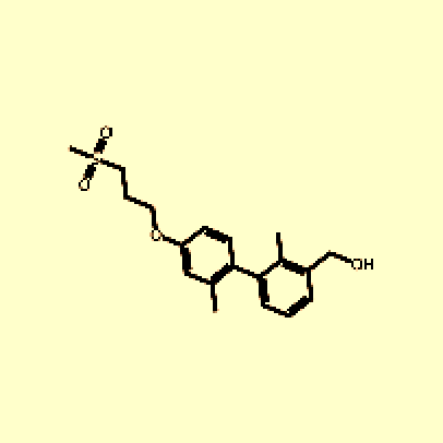 Cc1cc(OCCCS(C)(=O)=O)ccc1-c1cccc(CO)c1C